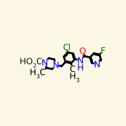 Cc1c(CN2CCN(C(=O)O)C(C)C2)cc(Cl)cc1NC(=O)c1cncc(F)c1